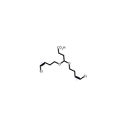 CC/C=C\CCOC(CCC(=O)O)OCC/C=C\CC